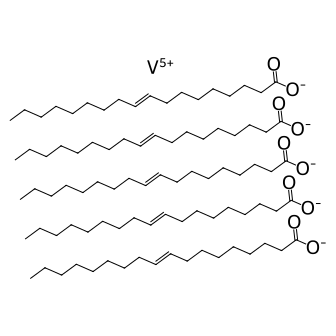 CCCCCCCCC=CCCCCCCCC(=O)[O-].CCCCCCCCC=CCCCCCCCC(=O)[O-].CCCCCCCCC=CCCCCCCCC(=O)[O-].CCCCCCCCC=CCCCCCCCC(=O)[O-].CCCCCCCCC=CCCCCCCCC(=O)[O-].[V+5]